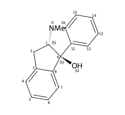 CN[C@H]1Cc2ccccc2[C@@]1(O)c1ccccc1